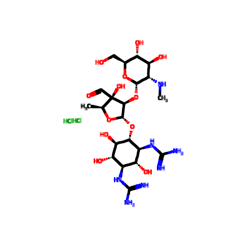 CN[C@@H]1[C@H](O[C@H]2[C@H](O[C@H]3[C@H](O)[C@@H](O)[C@H](NC(=N)N)[C@@H](O)[C@@H]3NC(=N)N)O[C@@H](C)[C@]2(O)C=O)O[C@@H](CO)[C@H](O)[C@H]1O.Cl.Cl